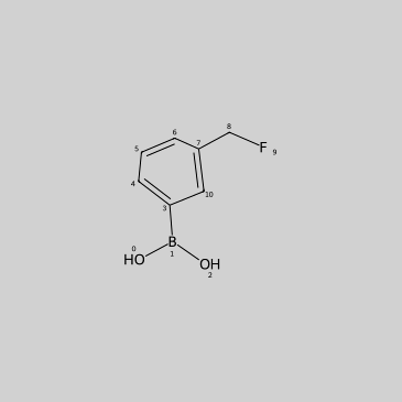 OB(O)c1cccc(CF)c1